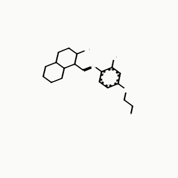 CCCSc1ccc(N=CC2C(O)CCC3CCCCC32)c(O)c1